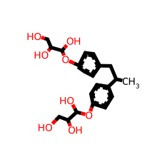 CC(Cc1ccc(OC(O)C(O)CO)cc1)c1ccc(OC(O)C(O)CO)cc1